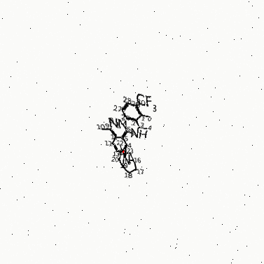 Cc1c([C@@H](C)Nc2nnc(C)c3ccc(N4C5CCC4CN(C)C5)cc23)cccc1C(F)(F)F